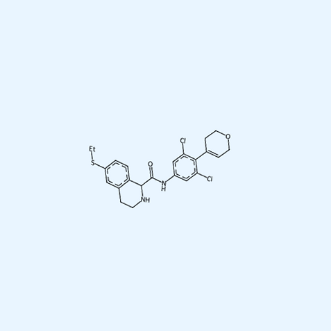 CCSc1ccc2c(c1)CCNC2C(=O)Nc1cc(Cl)c(C2=CCOCC2)c(Cl)c1